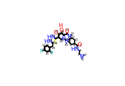 CN(C)CCNC(=O)C1CCC2(CC1)N(C)C(=O)c1c(O)c(=O)c(C(=N)SC(=N)Cc3ccc(F)cc3F)cn1N2C